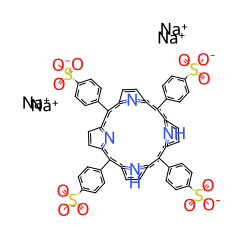 O=S(=O)([O-])c1ccc(-c2c3nc(c(-c4ccc(S(=O)(=O)[O-])cc4)c4ccc([nH]4)c(-c4ccc(S(=O)(=O)[O-])cc4)c4ccc([nH]4)c(-c4ccc(S(=O)(=O)[O-])cc4)c4nc2C=C4)C=C3)cc1.[Na+].[Na+].[Na+].[Na+]